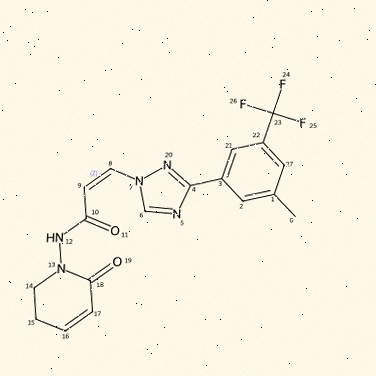 Cc1cc(-c2ncn(/C=C\C(=O)NN3CCC=CC3=O)n2)cc(C(F)(F)F)c1